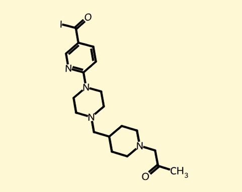 CC(=O)CN1CCC(CN2CCN(c3ccc(C(=O)I)cn3)CC2)CC1